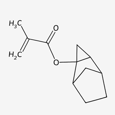 C=C(C)C(=O)OC12CC1C1CCC2C1